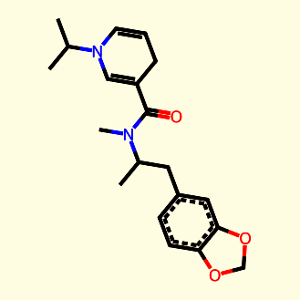 CC(C)N1C=CCC(C(=O)N(C)C(C)Cc2ccc3c(c2)OCO3)=C1